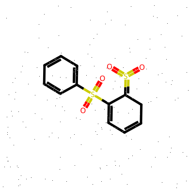 O=S(=O)=C1CC=C[C]=C1S(=O)(=O)c1ccccc1